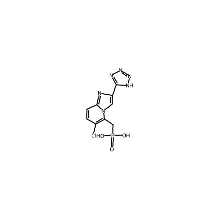 O=P(O)(O)Cc1c(Cl)ccc2nc(-c3nnn[nH]3)cn12